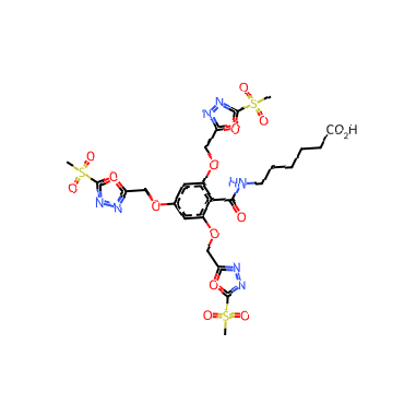 CS(=O)(=O)c1nnc(COc2cc(OCc3nnc(S(C)(=O)=O)o3)c(C(=O)NCCCCCC(=O)O)c(OCc3nnc(S(C)(=O)=O)o3)c2)o1